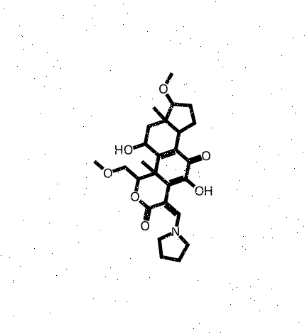 COCC1OC(=O)C(=CN2CCCC2)C2=C(O)C(=O)C3=C(C(O)CC4(C)C(OC)CCC34)C21C